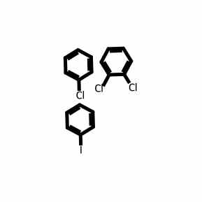 Clc1ccccc1.Clc1ccccc1Cl.Ic1ccccc1